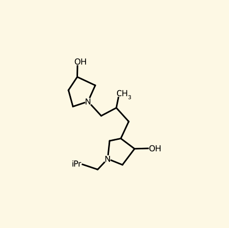 CC(C)CN1CC(O)C(CC(C)CN2CCC(O)C2)C1